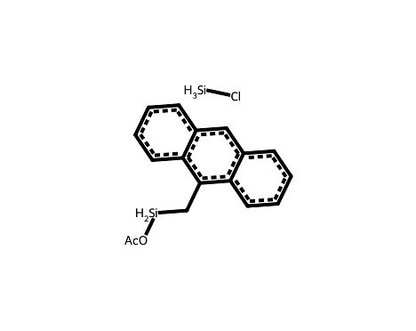 CC(=O)O[SiH2]Cc1c2ccccc2cc2ccccc12.[SiH3]Cl